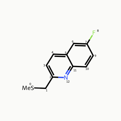 CSCc1ccc2cc(F)ccc2n1